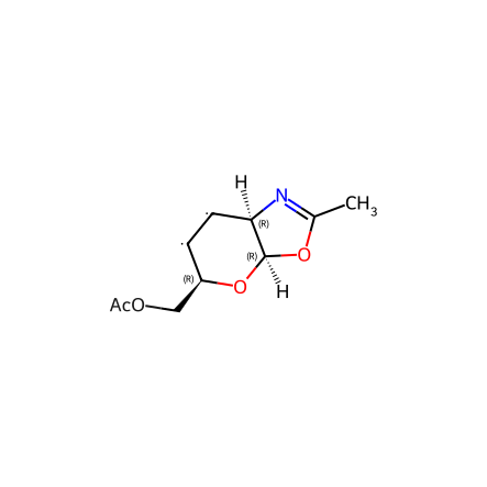 CC(=O)OC[C@H]1[CH][CH][C@H]2N=C(C)O[C@H]2O1